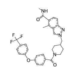 CNC(=O)c1ccc2nn(CC3CCN(C(=O)c4ccc(Oc5ccc(C(F)(F)F)cc5)cc4)CC3)cc2c1C